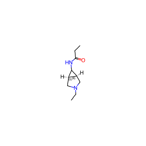 CCC(=O)NC1[C@H]2CN(CC)C[C@@H]12